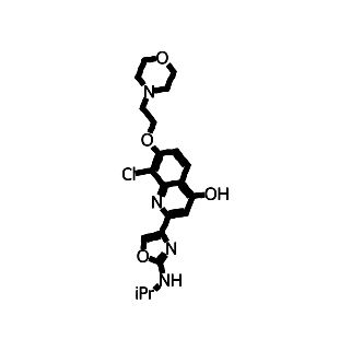 CC(C)Nc1nc(-c2cc(O)c3ccc(OCCN4CCOCC4)c(Cl)c3n2)co1